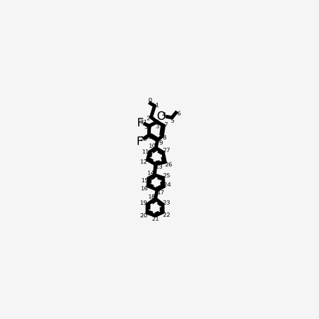 CCCC1(OCC)C=CC(c2ccc(-c3ccc(-c4ccccc4)cc3)cc2)=C(F)C1F